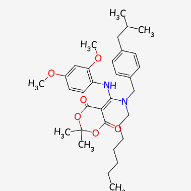 CCCCCCCN(Cc1ccc(CC(C)C)cc1)C(Nc1ccc(OC)cc1OC)=C1C(=O)OC(C)(C)OC1=O